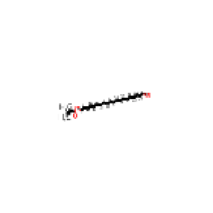 CC=C(C)C(=O)OCCCCCCCCCCCCCCCCCCCCO